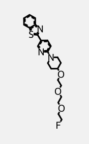 FCCOCCOCCOC1CCN(c2ccc(-c3nc4ccccc4s3)cn2)CC1